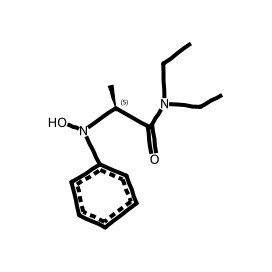 CCN(CC)C(=O)[C@H](C)N(O)c1ccccc1